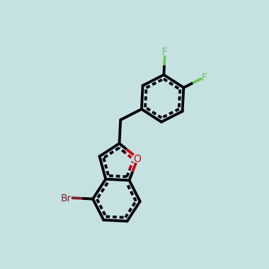 Fc1ccc(Cc2cc3c(Br)cccc3o2)cc1F